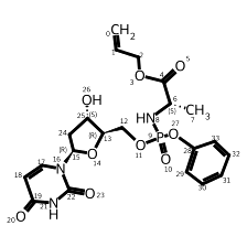 C=CCOC(=O)[C@H](C)NP(=O)(OC[C@H]1O[C@@H](n2ccc(=O)[nH]c2=O)C[C@@H]1O)Oc1ccccc1